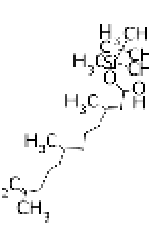 C=C(C)CCC/C(C)=C/CC/C(C)=C/C(O)O[Si](C)(C)C(C)(C)C